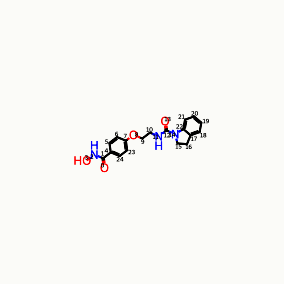 O=C(NO)c1ccc(OCCNC(=O)N2CCc3ccccc32)cc1